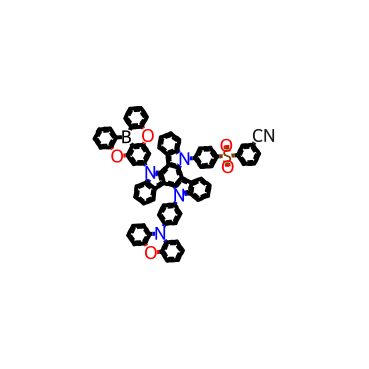 N#Cc1cccc(S(=O)(=O)c2ccc(-n3c4ccccc4c4c3c3c5ccccc5n(-c5ccc(N6c7ccccc7Oc7ccccc76)cc5)c3c3c5ccccc5n(-c5cc6c7c(c5)Oc5ccccc5B7c5ccccc5O6)c34)cc2)c1